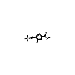 COC(=O)c1cc(C)c(C#C[Si](C)(C)C)cn1